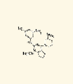 CNC1CCCN(c2nc(Nc3cc(N)cc(C#N)c3)nc3c2CCC3)C1.Cl.Cl